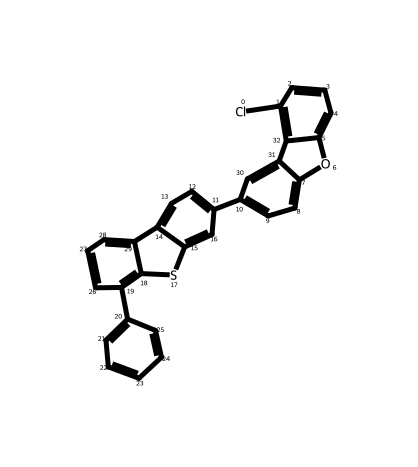 Clc1cccc2oc3ccc(-c4ccc5c(c4)sc4c(-c6ccccc6)cccc45)cc3c12